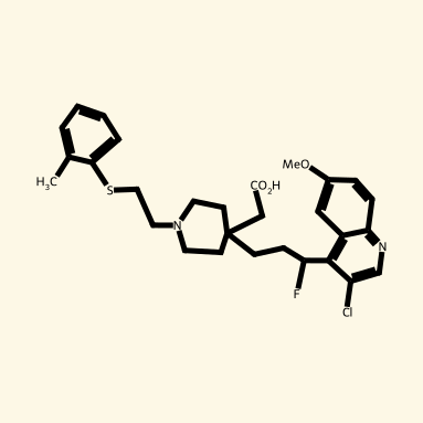 COc1ccc2ncc(Cl)c(C(F)CCC3(CC(=O)O)CCN(CCSc4ccccc4C)CC3)c2c1